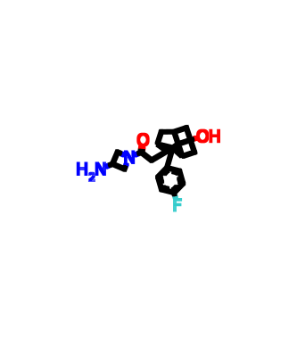 NC1CN(C(=O)CC2(c3ccc(F)cc3)C3CC4CC5(O)CC2C45C3)C1